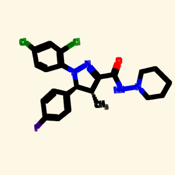 C[C@H]1C(C(=O)NN2CCCCC2)=NN(c2ccc(Cl)cc2Cl)[C@@H]1c1ccc(I)cc1